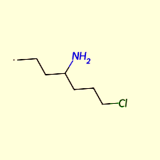 [CH2]CCC(N)CCCCl